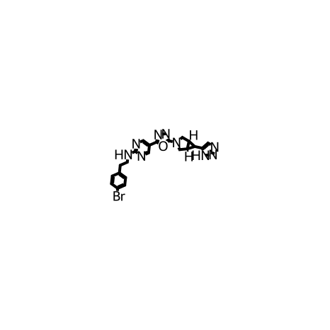 Brc1ccc(CCNc2ncc(-c3nnc(N4C[C@@H]5C(c6cnn[nH]6)[C@@H]5C4)o3)cn2)cc1